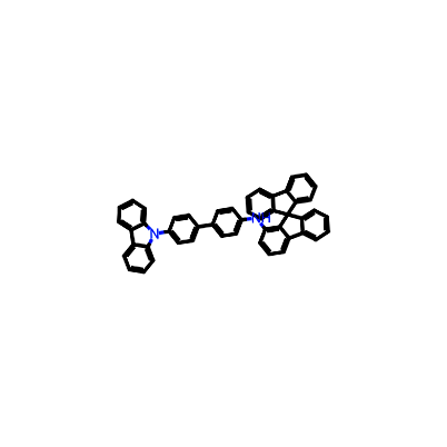 c1ccc2c(c1)-c1ccccc1C21c2ccccc2-c2cccc(Nc3ccc(-c4ccc(-n5c6ccccc6c6ccccc65)cc4)cc3)c21